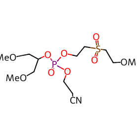 COCCS(=O)(=O)CCOP(=O)(OCCC#N)OC(COC)COC